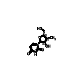 C[C@@H]1[C@@H](CO)OC(n2ccc(=O)[nH]c2=O)[C@@H]1O